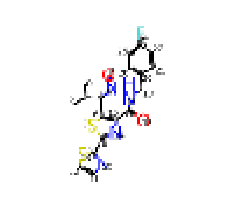 CC(C)C(N=O)c1sc(-c2nccs2)nc1C(=O)NCc1ccc(F)cc1